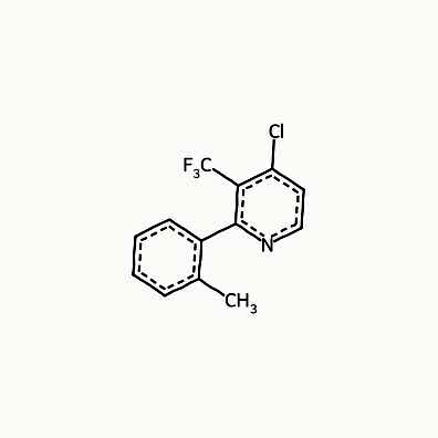 Cc1ccccc1-c1nccc(Cl)c1C(F)(F)F